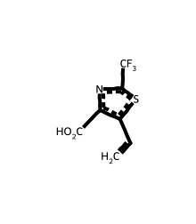 C=Cc1sc(C(F)(F)F)nc1C(=O)O